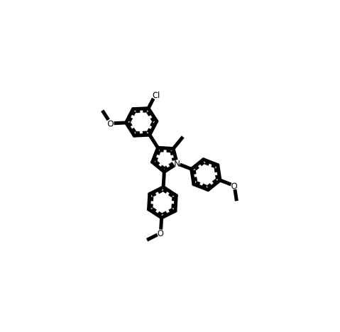 COc1ccc(-c2cc(-c3cc(Cl)cc(OC)c3)c(C)n2-c2ccc(OC)cc2)cc1